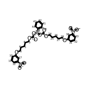 O=C(OCCCCCOc1cccc([N+](=O)[O-])c1)OB(OC(=O)OCCCCCOc1cccc([N+](=O)[O-])c1)c1ccccc1